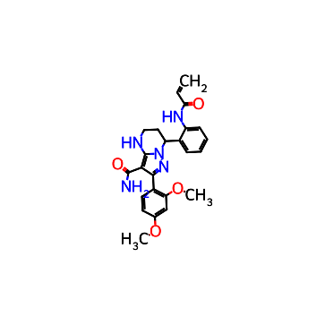 C=CC(=O)Nc1ccccc1C1CCNc2c(C(N)=O)c(-c3ccc(OC)cc3OC)nn21